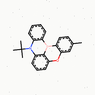 Cc1ccc2c(c1)Oc1cccc3c1B2c1ccccc1N3C(C)(C)C